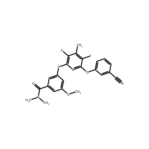 COc1cc(Oc2nc(Oc3cccc(C#N)c3)c(F)c(C)c2F)cc(C(=O)N(C)C)c1